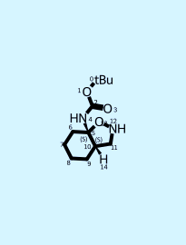 CC(C)(C)OC(=O)N[C@]12CCCC[C@H]1CNO2